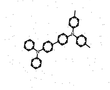 Cc1ccc(N(c2ccc(C)cc2)c2ccc(-c3ccc(N(c4ccccc4)c4ccccc4)cc3)cc2)cc1